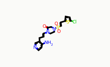 Nc1ccncc1C/C=C/N1CCN(S(=O)(=O)/C=C/c2ccc(Cl)s2)CC1=O